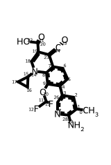 Cc1cc(-c2ccc3c(c2OC(F)F)N(C2CC2)C=C(C(=O)O)C3=C=O)cnc1N